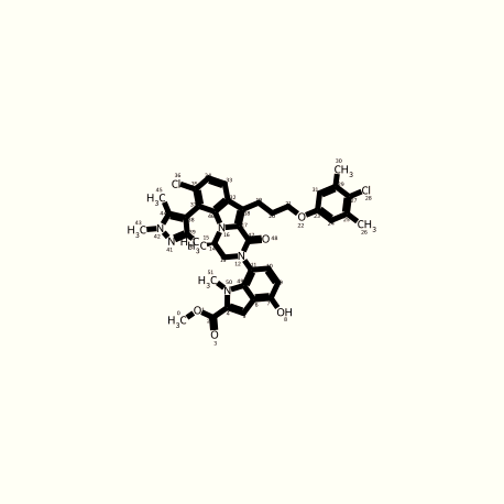 COC(=O)c1cc2c(O)ccc(N3C[C@@H](C)n4c(c(CCCOc5cc(C)c(Cl)c(C)c5)c5ccc(Cl)c(-c6c(C)nn(C)c6C)c54)C3=O)c2n1C